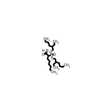 CCCCCCC(C(N)=O)P(=O)(OCC(CC)CCCC)OCC(CC)CCCC